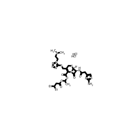 CCC(CC)CC(=O)OC(C)OC(=O)C1=C(CSc2nnnn2CCN(C)C)CS[C@H]2[C@H](NC(=O)Cc3csc(N)n3)C(=O)N12.Cl.Cl